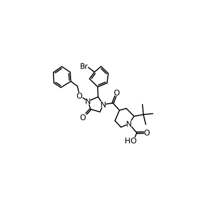 CC(C)(C)C1CC(C(=O)N2CC(=O)N(OCc3ccccc3)C2c2cccc(Br)c2)CCN1C(=O)O